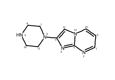 c1cnc2nc(N3CCNCC3)cn2c1